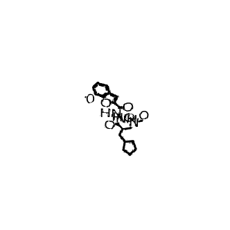 COc1cccc2cc(C(=O)NNC(=O)C(CC3CCCC3)CN(O)C=O)oc12